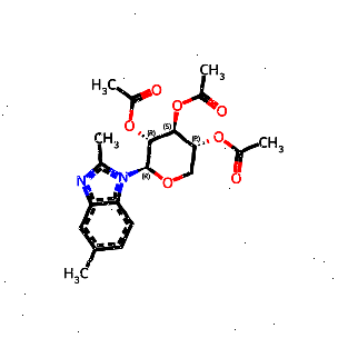 CC(=O)O[C@@H]1[C@@H](OC(C)=O)[C@H](OC(C)=O)CO[C@H]1n1c(C)nc2cc(C)ccc21